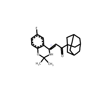 CC1(C)N/C(=C\C(=O)C23CC4CC(CC(C4)C2)C3)c2cc(F)ccc2O1